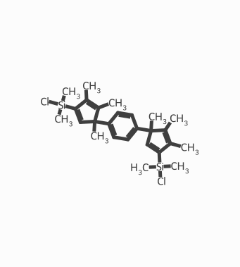 CC1=C(C)C(C)(c2ccc(C3(C)C=C([Si](C)(C)Cl)C(C)=C3C)cc2)C=C1[Si](C)(C)Cl